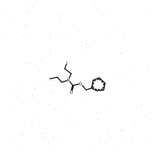 O=C(OCc1ccccc1)N(CCI)CCI